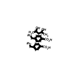 CC(C)Cc1ccc(C(=O)O)cc1.CC(C)Cc1ccc(C(=O)O)cc1.CC(O)CC(C)O